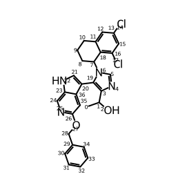 CC(O)c1ncn(C2CCCc3cc(Cl)cc(Cl)c32)c1-c1c[nH]c2cnc(OCc3ccccc3)cc12